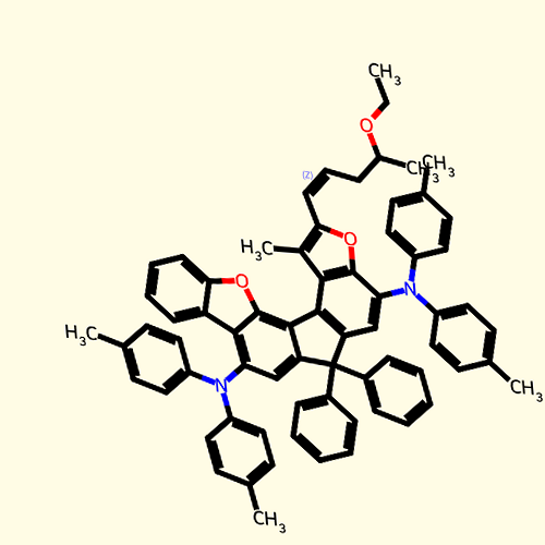 CCOC(C)C/C=C\c1oc2c(N(c3ccc(C)cc3)c3ccc(C)cc3)cc3c(c2c1C)-c1c(cc(N(c2ccc(C)cc2)c2ccc(C)cc2)c2c1oc1ccccc12)C3(c1ccccc1)c1ccccc1